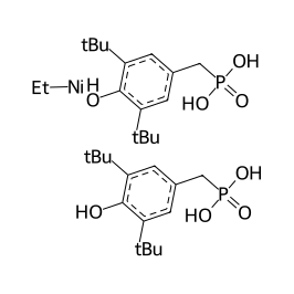 CC(C)(C)c1cc(CP(=O)(O)O)cc(C(C)(C)C)c1O.CC(C)(C)c1cc(CP(=O)(O)O)cc(C(C)(C)C)c1O.C[CH2][Ni]